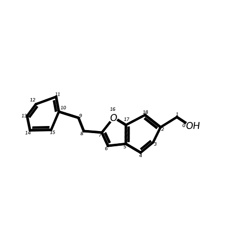 OCc1ccc2cc(CCc3ccccc3)oc2c1